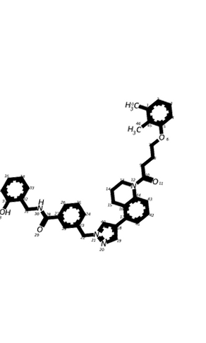 Cc1cccc(OCCCC(=O)N2CCCc3c(-c4cnn(Cc5cccc(C(=O)NCc6ccccc6O)c5)c4)cccc32)c1C